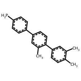 Cc1ccc(-c2ccc(-c3ccc(P)cc3)cc2C)cc1C